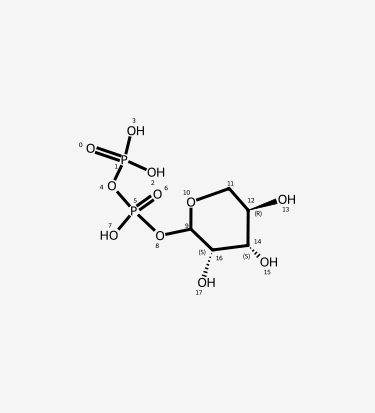 O=P(O)(O)OP(=O)(O)OC1OC[C@@H](O)[C@H](O)[C@@H]1O